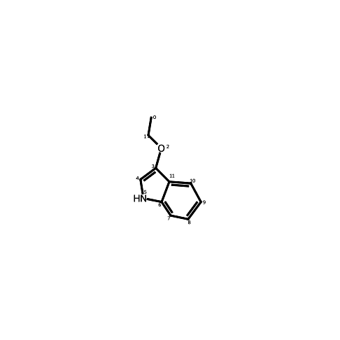 C[CH]Oc1c[nH]c2ccccc12